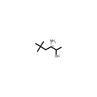 CC(O)[C@@H](N)CC(C)(C)C